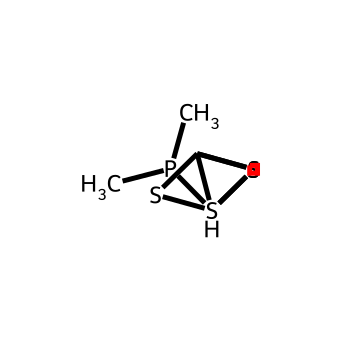 CP(C)[SH]123SC1(S2)S3